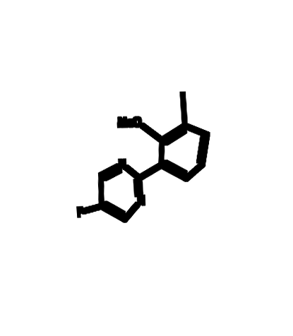 COc1c(C)cccc1-c1ncc(F)cn1